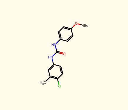 Cc1cc(NC(=O)Nc2ccc(OC(C)(C)C)cc2)ccc1Cl